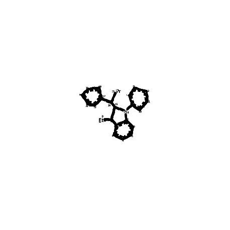 CCC1c2ccccc2N(c2ccccc2)C1C(c1ccccc1)C(C)C